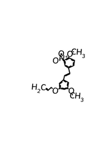 C=CCOc1cc(C=Cc2ccc(OC)c([N+](=O)[O-])c2)cc(OC)c1